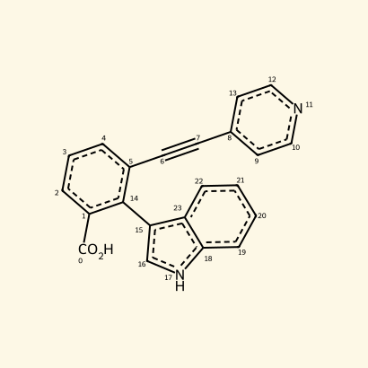 O=C(O)c1cccc(C#Cc2ccncc2)c1-c1c[nH]c2ccccc12